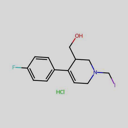 Cl.OCC1CN(CI)CC=C1c1ccc(F)cc1